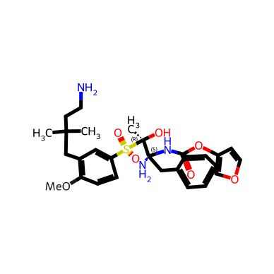 COc1ccc(S(=O)(=O)[C@@](C)(O)[C@](N)(Cc2ccccc2)NC(=O)Oc2ccoc2)cc1CC(C)(C)CCN